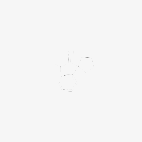 N=C(NO)C1(c2ccccc2)CCCC1